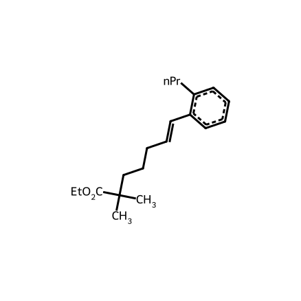 CCCc1ccccc1C=CCCCC(C)(C)C(=O)OCC